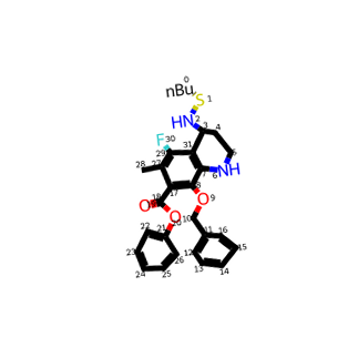 CCCCSNC1CCNc2c(OCc3ccccc3)c(C(=O)Oc3ccccc3)c(C)c(F)c21